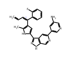 C=C/C=C(/c1ccccc1F)c1cc(-c2n[nH]c3cnc(-c4cncc(N)c4)cc23)[nH]c1C